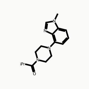 CC(C)C(=O)N1CCN(c2cccc3c2ncn3C)CC1